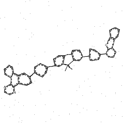 CC1(C)c2cc(-c3ccc(-c4ccc5c(c4)c4ccccc4c4nccnc54)cc3)ccc2-c2ccc(-c3ccc(-c4cccc5c4oc4ccccc45)cc3)cc21